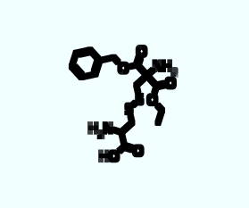 CCOC(=O)C(N)(CSSCC(N)C(=O)O)C(=O)OCc1ccccc1